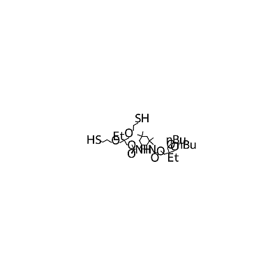 CCCCOCC(CC)(COCCCC)COC(=O)NCC1(C)CC(NC(=O)OCC(CC)(COCCCS)COCCCS)CC(C)(C)C1